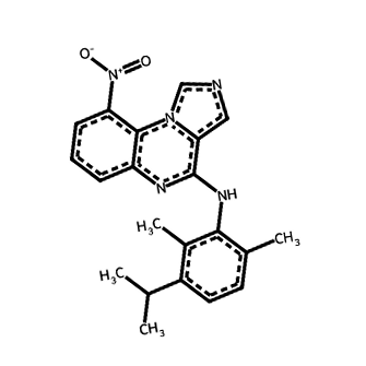 Cc1ccc(C(C)C)c(C)c1Nc1nc2cccc([N+](=O)[O-])c2n2cncc12